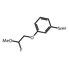 COC(F)COc1ccc[c]([SnH])c1